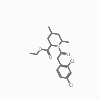 CCOC(=O)C1CC(C)CC(C)N1C(=O)Cc1ccc(Cl)cc1Cl